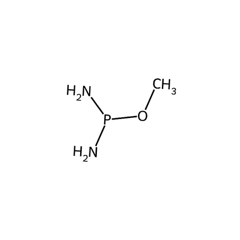 COP(N)N